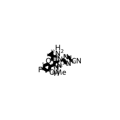 COc1cc(F)cc(OCC2(CN)CC2)c1-c1cc(Nc2cnc(C#N)cn2)n[nH]1